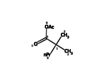 CCCC(C)(C)C(=O)OC(C)=O